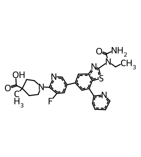 CCN(C(N)=O)c1nc2cc(-c3cnc(N4CCC(C)(C(=O)O)CC4)c(F)c3)cc(-c3ccccn3)c2s1